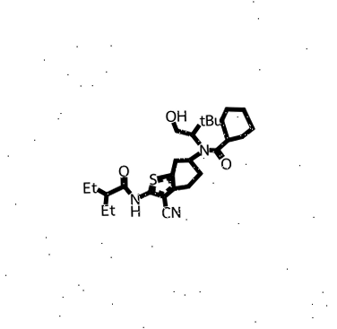 CCC(CC)C(=O)Nc1sc2c(c1C#N)CCC(N(C(=O)C1CCCCC1)C(CO)C(C)(C)C)C2